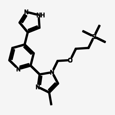 Cc1cn(COCC[Si](C)(C)C)c(-c2cc(-c3cn[nH]c3)ccn2)n1